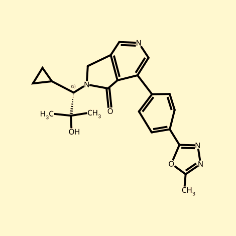 Cc1nnc(-c2ccc(-c3cncc4c3C(=O)N([C@@H](C3CC3)C(C)(C)O)C4)cc2)o1